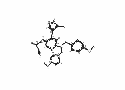 COc1ccc(CN(Cc2ccc(OC)cc2)c2cc(-c3c[nH]nc3C)c(OC(C)C#N)cn2)cc1